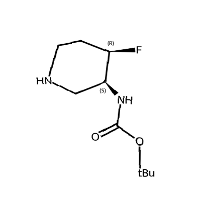 CC(C)(C)OC(=O)N[C@H]1CNCC[C@H]1F